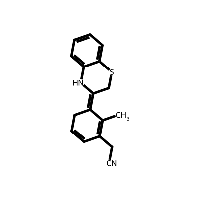 CC1=C(CC#N)C=CCC1=C1CSc2ccccc2N1